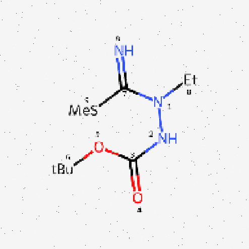 CCN(NC(=O)OC(C)(C)C)C(=N)SC